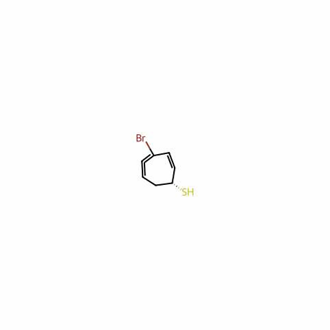 S[C@H]1C=CC(Br)=C=CC1